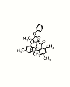 CC(=CP(=O)(C(=O)c1c(C)cc(C)cc1C)C(=O)c1c(C)cc(C)cc1C)C(=O)Oc1ccccc1